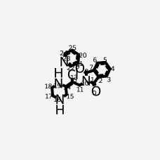 O=C1c2ccccc2C(=O)N1C/C(Cl)=C1\CNCCN1.c1ccncc1